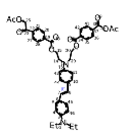 CCN(CC)c1ccc(/C=C/c2ccc(N(CCOC(=O)c3ccc(C(=O)COC(C)=O)cc3)CCOC(=O)c3ccc(C(=O)OC(C)=O)cc3)cc2)cc1